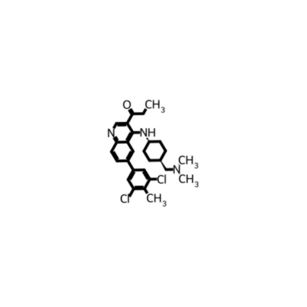 CCC(=O)c1cnc2ccc(-c3cc(Cl)c(C)c(Cl)c3)cc2c1N[C@H]1CC[C@H](CN(C)C)CC1